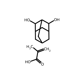 C=C(C)C(=O)O.OC1C2CC3CC(C2)C(O)C1C3